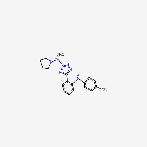 O=C[C@@H](N1CCCC1)n1nnc(-c2ccccc2Nc2ccc(C(F)(F)F)cc2)n1